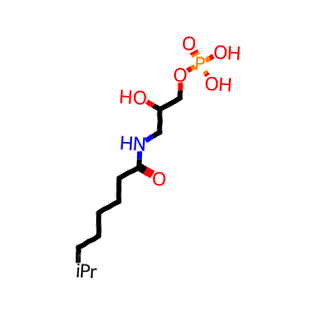 CC(C)CCCCCC(=O)NCC(O)COP(=O)(O)O